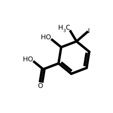 CC1(I)C=CC=C(C(=O)O)C1O